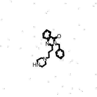 O=c1c2ccccc2nc(CCCN2CCNCC2)n1Cc1ccccc1